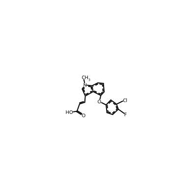 Cn1cc(C=CC(=O)O)c2c(Oc3ccc(F)c(Cl)c3)cccc21